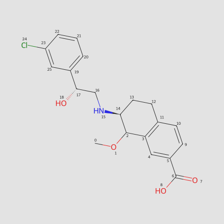 COC1c2cc(C(=O)O)ccc2CC[C@@H]1NC[C@H](O)c1cccc(Cl)c1